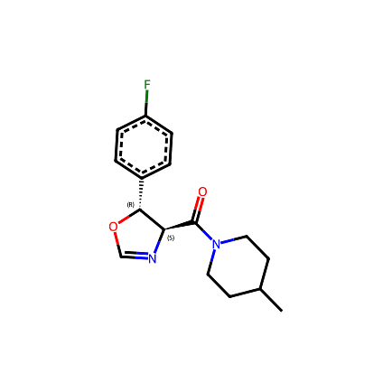 CC1CCN(C(=O)[C@H]2N=CO[C@@H]2c2ccc(F)cc2)CC1